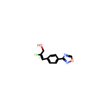 OC/C(F)=C\c1ccc(-c2ncon2)cc1